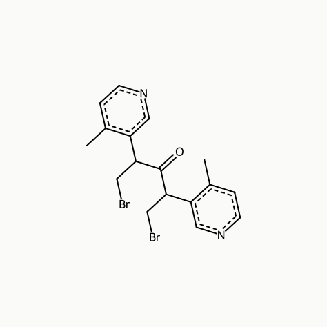 Cc1ccncc1C(CBr)C(=O)C(CBr)c1cnccc1C